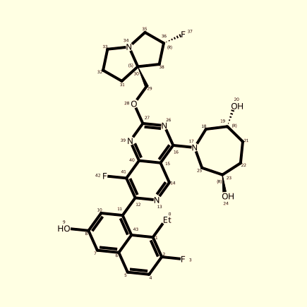 CCc1c(F)ccc2cc(O)cc(-c3ncc4c(N5C[C@H](O)CC[C@@H](O)C5)nc(OC[C@@]56CCCN5C[C@H](F)C6)nc4c3F)c12